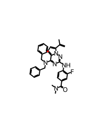 C=C(C)c1ccc2c(N(Cc3ccccc3)Cc3ccccc3)nc(Nc3ccc(C(=O)N(C)C)cc3F)nn12